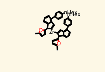 CCCCCCc1ccc(-c2cccc3c2C=[C]([Zr][C]2=Cc4c(-c5ccc(CCCCCC)cc5)cccc4C2c2ccc(C)o2)C3c2ccc(C)o2)cc1